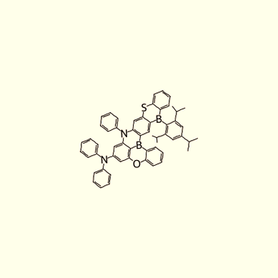 CC(C)c1cc(C(C)C)c(B2c3ccccc3Sc3cc4c(cc32)B2c3ccccc3Oc3cc(N(c5ccccc5)c5ccccc5)cc(c32)N4c2ccccc2)c(C(C)C)c1